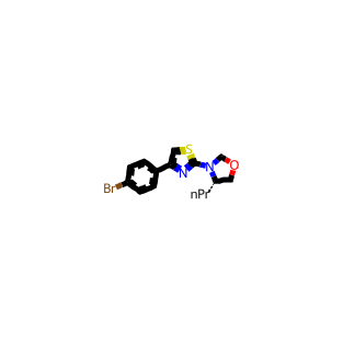 CCC[C@H]1COCN1c1nc(-c2ccc(Br)cc2)cs1